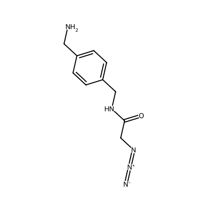 [N-]=[N+]=NCC(=O)NCc1ccc(CN)cc1